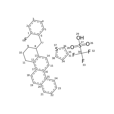 Fc1ccccc1CC1CCCc2c1ccc1c2ccc2ccccc21.O=S(=O)(O)C(F)(F)F.c1ccsc1